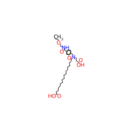 CCCOCCNC(=O)c1ccc(CN(CCC(=O)O)C(=O)CCCCCCCCCCCCCCCCC(=O)O)cc1